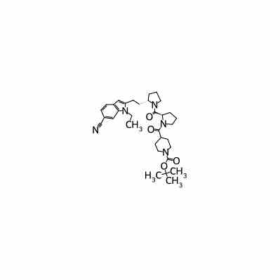 CCn1c(CC[C@@H]2CCCN2C(=O)[C@H]2CCCN2C(=O)C2CCN(C(=O)OC(C)(C)C)CC2)cc2ccc(C#N)cc21